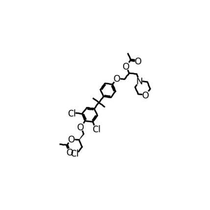 CC(=O)OC(COc1ccc(C(C)(C)c2cc(Cl)c(OC[C@@H](CCl)OC(C)=O)c(Cl)c2)cc1)CN1CCOCC1